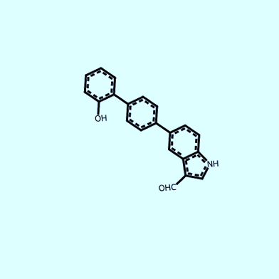 O=Cc1c[nH]c2ccc(-c3ccc(-c4ccccc4O)cc3)cc12